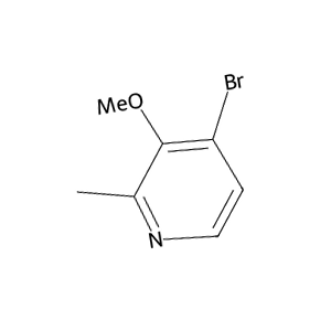 COc1c(Br)ccnc1C